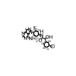 Nc1ncnc2cnn(-c3ccc(NC(=O)[C@H](O)c4cccc(Cl)c4)cc3F)c12